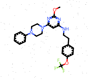 COc1nc(NCCc2ccc(OC(F)(F)F)cc2)cc(N2CCN(c3ccccc3)CC2)n1